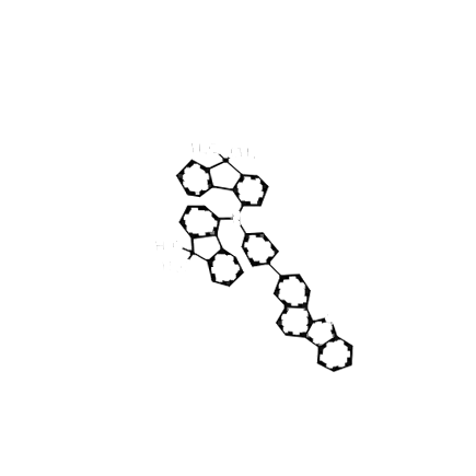 CC1(C)c2ccccc2-c2c(N(c3ccc(-c4ccc5c(ccc6c7ccccc7sc56)c4)cc3)c3cccc4c3-c3ccccc3C4(C)C)cccc21